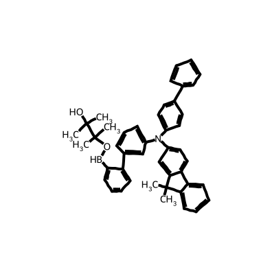 CC1(C)c2ccccc2-c2ccc(N(c3ccc(-c4ccccc4)cc3)c3cccc(-c4ccccc4BOC(C)(C)C(C)(C)O)c3)cc21